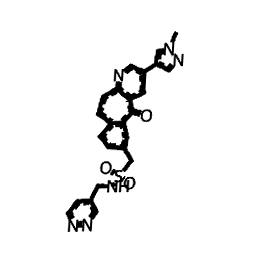 Cn1cc(-c2cnc3ccc4ccc(CS(=O)(=O)NCc5ccnnc5)cc4c(=O)c3c2)cn1